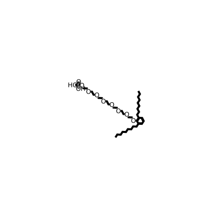 CCCCCCCCCc1cccc(CCCCCCCCC)c1OCCOCCOCCOCCOCCOCCOCCOP(=O)(O)O